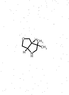 CC1(C)CN[C@@H]2COC[C@@H]21